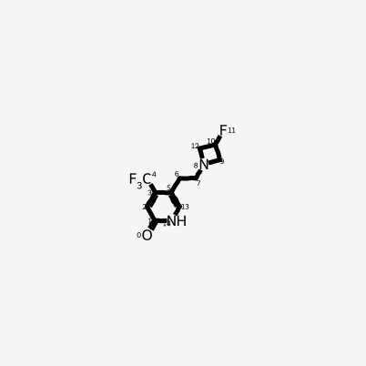 O=c1cc(C(F)(F)F)c(CCN2CC(F)C2)c[nH]1